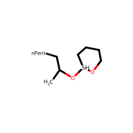 CCCCCCC(C)O[SiH]1CCCCO1